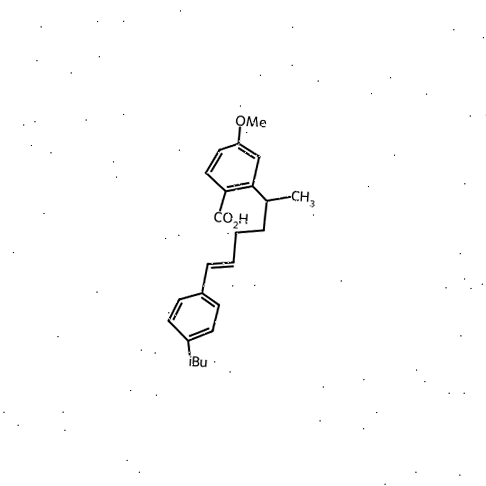 CCC(C)c1ccc(C=CCCC(C)c2cc(OC)ccc2C(=O)O)cc1